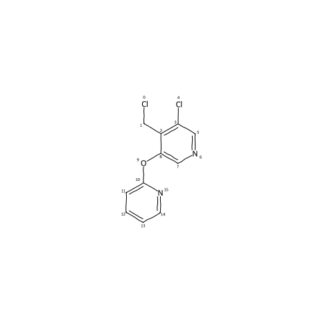 ClCc1c(Cl)cncc1Oc1ccccn1